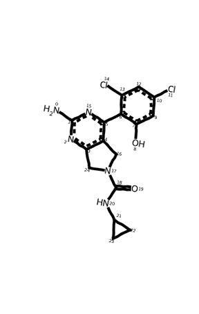 Nc1nc2c(c(-c3c(O)cc(Cl)cc3Cl)n1)CN(C(=O)NC1CC1)C2